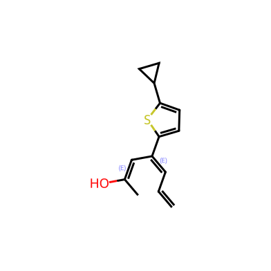 C=C/C=C(\C=C(/C)O)c1ccc(C2CC2)s1